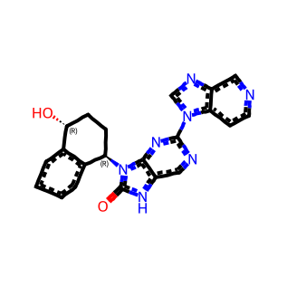 O=c1[nH]c2cnc(-n3cnc4cnccc43)nc2n1[C@@H]1CC[C@@H](O)c2ccccc21